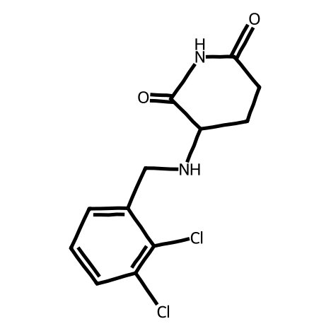 O=C1CCC(NCc2cccc(Cl)c2Cl)C(=O)N1